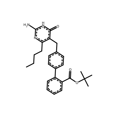 CCCCc1nc(N)[nH]c(=O)c1Cc1ccc(-c2ccccc2C(=O)OC(C)(C)C)cc1